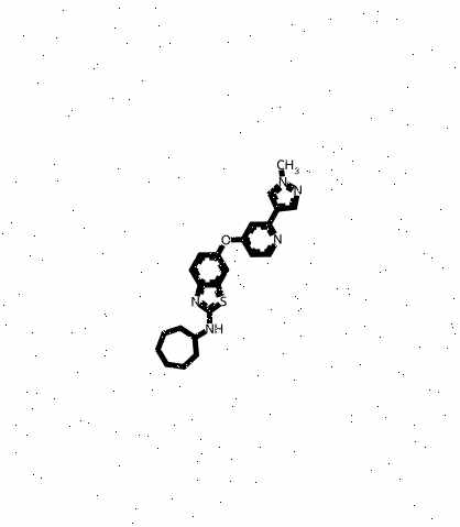 Cn1cc(-c2cc(Oc3ccc4nc(NC5CCCCCC5)sc4c3)ccn2)cn1